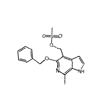 Cc1nc(OCc2ccccc2)c(COS(C)(=O)=O)c2cc[nH]c12